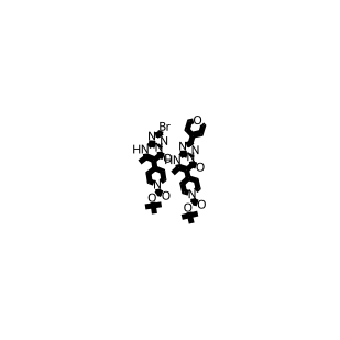 Cc1[nH]c2nc(Br)nn2c(=O)c1C1CCN(C(=O)OC(C)(C)C)CC1.Cc1[nH]c2nc(C3=CCOCC3)nn2c(=O)c1C1CCN(C(=O)OC(C)(C)C)CC1